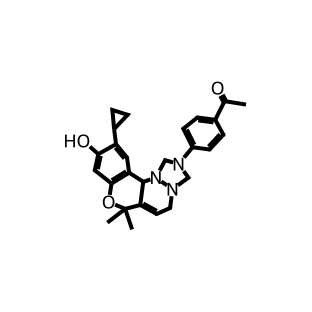 CC(=O)c1ccc(N2CN3CC=C4C(c5cc(C6CC6)c(O)cc5OC4(C)C)N3C2)cc1